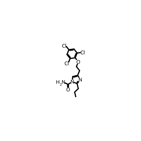 CCCc1nc(CCOc2c(Cl)cc(Cl)cc2Cl)cn1C(N)=O